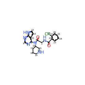 O=C(NCC(=O)N(c1ncnc2[nH]ccc12)C1CCCNC1)c1ccccc1Cl